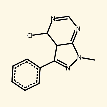 CN1N=C(c2ccccc2)C2C1=NC=NC2Cl